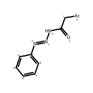 CC(=O)CC(=O)NN=Nc1ccccc1